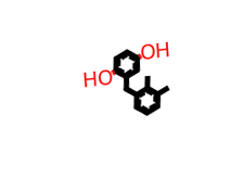 Cc1cccc(Cc2cc(O)ccc2O)c1C